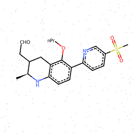 CCCOc1c(-c2ccc(S(C)(=O)=O)cn2)ccc2c1CC(CC=O)[C@H](C)N2